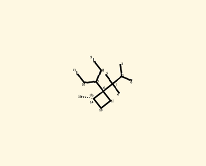 CC(C)C(C)(C)C1(C(CI)CI)CC[C@@H]1C